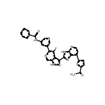 CC(=O)c1ccc(-c2ccnc3[nH]c(-c4n[nH]c5cnc(-c6cncc(NC(=O)c7ccccc7)c6)c(F)c45)nc23)s1